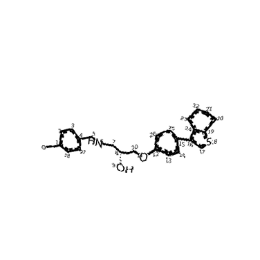 Cc1ccc(CNC[C@@H](O)COc2ccc(-c3csc4ccccc34)cc2)cc1